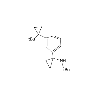 CC(C)(C)NC1(c2cccc(C3(C(C)(C)C)CC3)c2)CC1